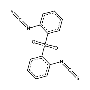 O=S(=O)(c1ccccc1N=C=S)c1ccccc1N=C=S